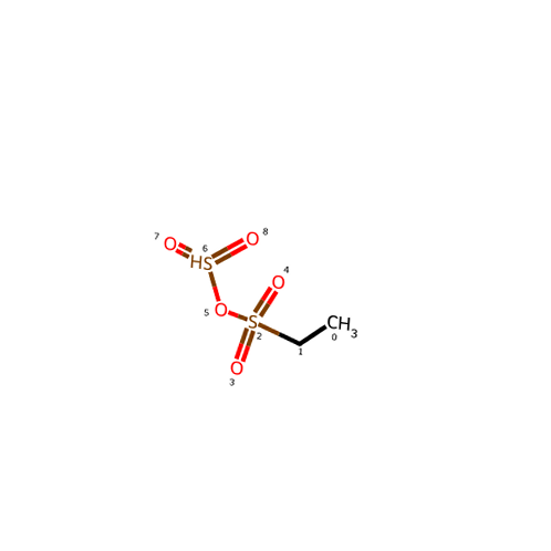 CCS(=O)(=O)O[SH](=O)=O